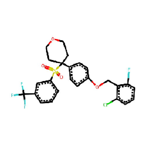 O=S(=O)(c1cccc(C(F)(F)F)c1)C1(c2ccc(OCc3c(F)cccc3Cl)cc2)CCOCC1